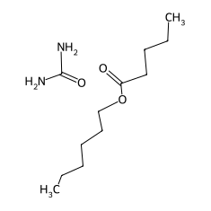 CCCCCCOC(=O)CCCC.NC(N)=O